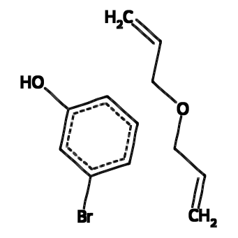 C=CCOCC=C.Oc1cccc(Br)c1